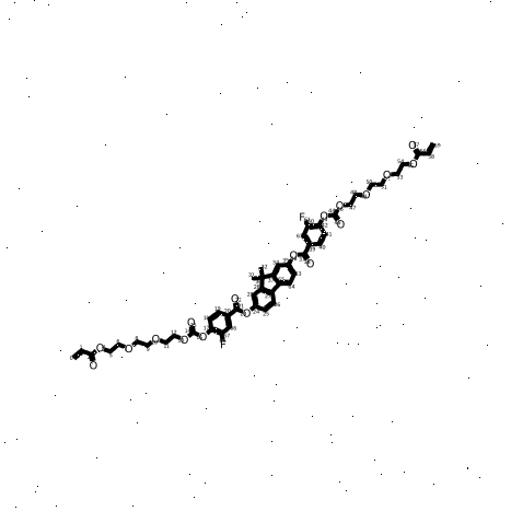 C=CC(=O)OCCOCCOCCOC(=O)Oc1ccc(C(=O)Oc2ccc3c(c2)C(C)(C)c2cc(OC(=O)c4ccc(OC(=O)OCCOCCOCCOC(=O)C=C)c(F)c4)ccc2-3)cc1F